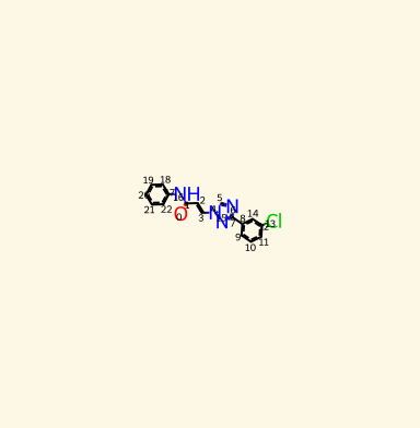 O=C(/C=C/n1cnc(-c2cccc(Cl)c2)n1)Nc1ccccc1